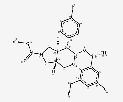 C[C@@H](O[C@@H]1OC[C@@H]2CN(C(=O)OC(C)(C)C)C[C@H]2[C@@H]1c1ccc(F)cc1)c1cc(CF)cc(C(F)(F)F)c1